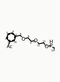 CC(=O)c1cccc(COCCOCCOPI)c1